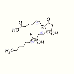 CCCCC/C=C(\F)[C@H](O)/C=C/[C@H]1[C@H](O)CC(=O)[C@@H]1C/C=C\CCCC(=O)O